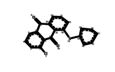 O=C1c2cccc(Cl)c2C(=O)c2c(Sc3ccccc3)cccc21